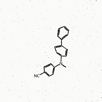 CN(c1ccc(C#N)cc1)c1ccc(-c2ccccc2)cc1